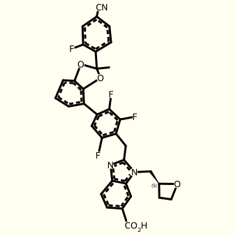 CC1(c2ccc(C#N)cc2F)Oc2cccc(-c3cc(F)c(Cc4nc5ccc(C(=O)O)cc5n4C[C@@H]4CCO4)c(F)c3F)c2O1